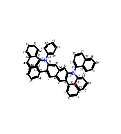 c1ccc(-c2cc3cc(-c4ccccc4)c(N(c4ccccc4)c4cccc5ccccc45)cc3cc2N(c2ccccc2)c2cccc3ccccc23)cc1